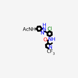 CC(=O)Nc1ccc2[nH]c(-c3cc(NC(=O)c4ccc(C(F)(F)F)nc4C)ccc3Cl)nc2c1